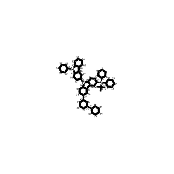 CC(C)(C)[Si](c1ccccc1)(c1ccccc1)c1ccc2c(c1)c1cc(-c3cccc(-c4ccccc4)c3)ccc1n2-c1ccc2c(c1)c1ccccc1n2-c1ccccc1